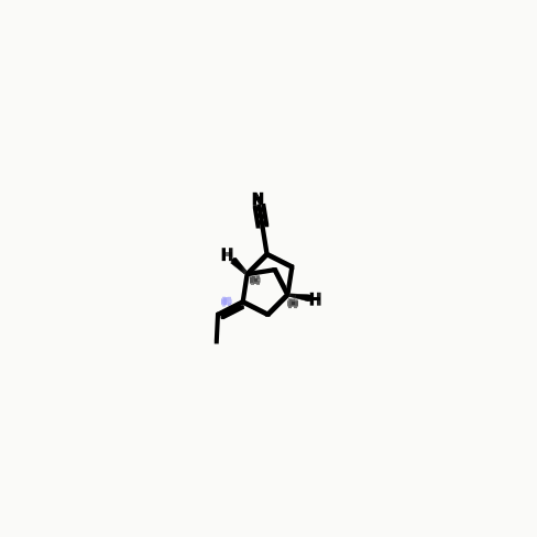 C/C=C1\C[C@H]2CC(C#N)[C@@H]1C2